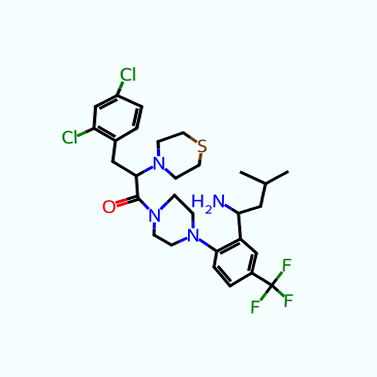 CC(C)CC(N)c1cc(C(F)(F)F)ccc1N1CCN(C(=O)C(Cc2ccc(Cl)cc2Cl)N2CCSCC2)CC1